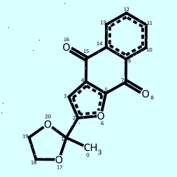 CC1(c2cc3c(o2)C(=O)c2ccccc2C3=O)OCCO1